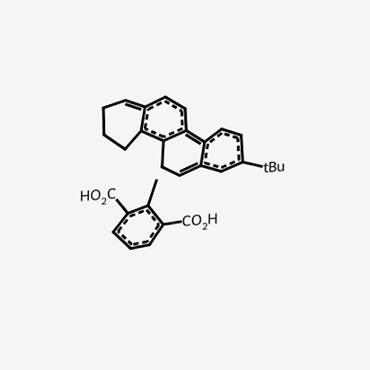 CC(C)(C)c1ccc2c(c1)=CCc1c3c(ccc1=2)=CCCC3.Cc1c(C(=O)O)cccc1C(=O)O